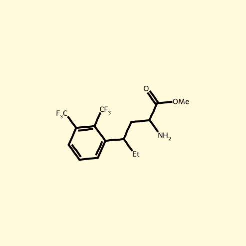 CCC(CC(N)C(=O)OC)c1cccc(C(F)(F)F)c1C(F)(F)F